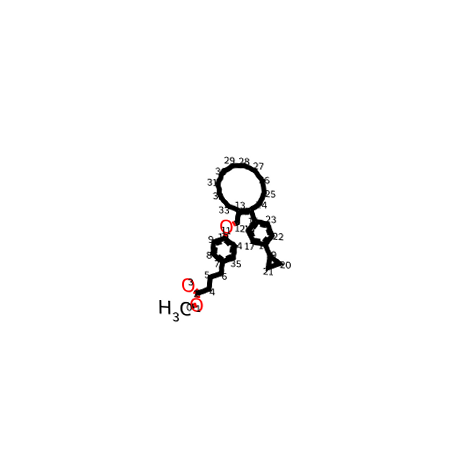 COC(=O)CCCc1ccc(OCC2=C(c3ccc(C4CC4)cc3)CCCCCCCCCC2)cc1